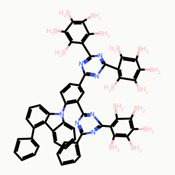 Bc1c(B)c(B)c(-c2nc(-c3ccccc3)nc(-c3cc(-c4nc(-c5c(B)c(B)c(B)c(B)c5B)nc(-c5c(B)c(B)c(B)c(B)c5B)n4)ccc3-n3c4ccccc4c4c(-c5ccccc5)cccc43)n2)c(B)c1B